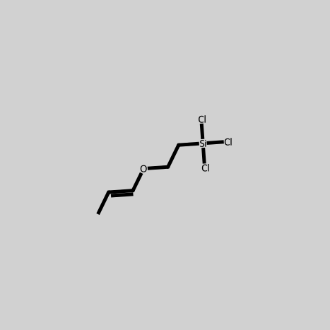 CC=COCC[Si](Cl)(Cl)Cl